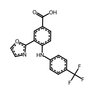 O=C(O)c1ccc(Nc2ccc(C(F)(F)F)cc2)c(-c2ncco2)c1